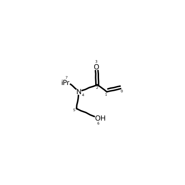 C=CC(=O)N(CO)C(C)C